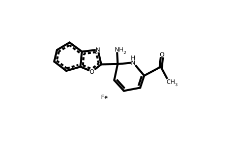 CC(=O)C1=CC=CC(N)(c2nc3ccccc3o2)N1.[Fe]